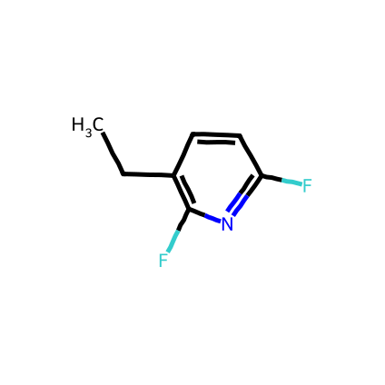 CCc1ccc(F)nc1F